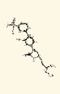 C/C(=N\C#N)NCC1CN(c2ccc(-c3cccc(S(N)(=O)=O)c3)c(F)c2)C(=O)O1